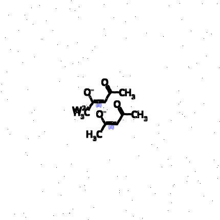 CC(=O)/C=C(/C)[O-].CC(=O)/C=C(/C)[O-].[W+2]